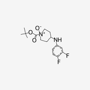 CC(C)(C)OC(=O)[N+]1([O-])CCC(Nc2ccc(F)c(F)c2)CC1